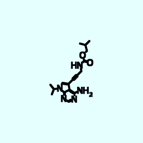 CC(C)COC(=O)NCC#Cc1cn(C(C)C)c2ncnc(N)c12